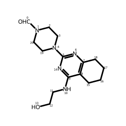 O=CN1CCN(c2nc3c(c(NCCO)n2)CCCC3)CC1